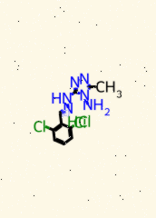 Cc1nnc(N/N=C/c2c(Cl)cccc2Cl)n1N.Cl